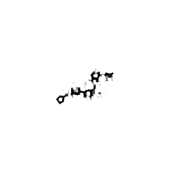 Cc1cn(-c2nccc3[nH]c(-c4n[nH]c5ncc(-c6cncc(NC(O)C7CCCC7)c6)c(F)c45)nc23)cn1